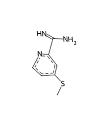 CSc1ccnc(C(=N)N)c1